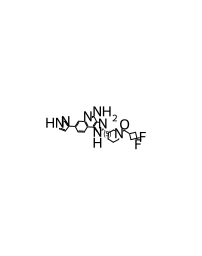 Nc1nc2cc(-c3cc[nH]n3)ccc2c2[nH]c([C@H]3CCCN(C(=O)C4CC(F)(F)C4)C3)nc12